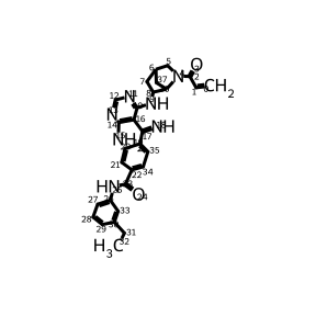 C=CC(=O)N1CC2CC(Nc3ncnc(N)c3C(=N)c3ccc(C(=O)Nc4cccc(CC)c4)cc3)C1C2